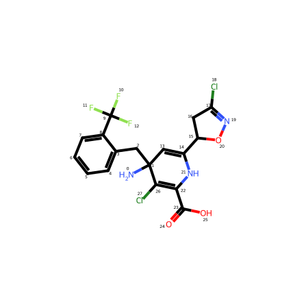 NC1(Cc2ccccc2C(F)(F)F)C=C(C2CC(Cl)=NO2)NC(C(=O)O)=C1Cl